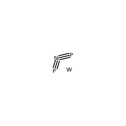 [P]#[Ni]#[P].[W]